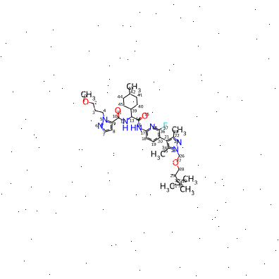 COCCCn1nccc1C(=O)N[C@H](C(=O)Nc1ccc(-c2c(C)nn(COCC[Si](C)(C)C)c2C)c(F)n1)C1CCC(C)CC1